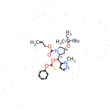 C=CCOC(=O)N1C[C@H](O[Si](C)(C)C(C)(C)C)C[C@H]1C(OC(=S)Oc1ccccc1)c1ccnn1C